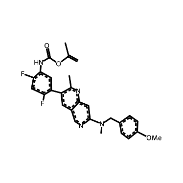 C=C(C)OC(=O)Nc1cc(-c2cc3cnc(N(C)Cc4ccc(OC)cc4)cc3nc2C)c(F)cc1F